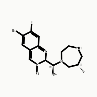 CCC[C@@H](C1N=c2cc(F)c(Br)cc2=CN1CC)N1CCNC[C@H](C)C1